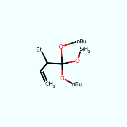 C=CC(CC)C(O[SiH3])(OCCCC)OCCCC